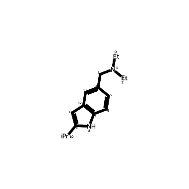 CCN(CC)Cc1ccc2[nH]c(C(C)C)cc2c1